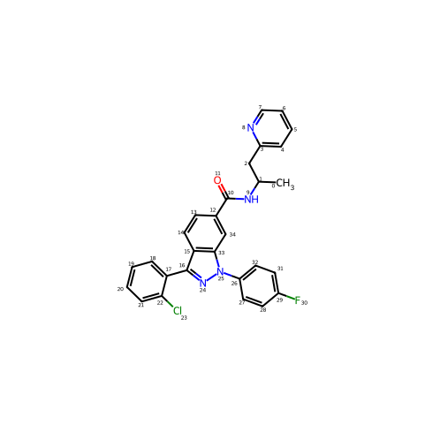 CC(Cc1ccccn1)NC(=O)c1ccc2c(-c3ccccc3Cl)nn(-c3ccc(F)cc3)c2c1